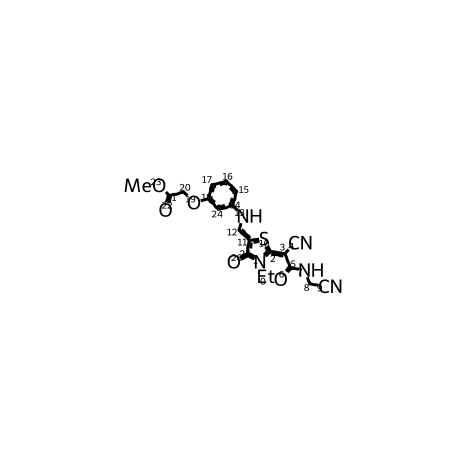 CCn1c(=C(C#N)C(=O)NCC#N)sc(=CNc2cccc(OCC(=O)OC)c2)c1=O